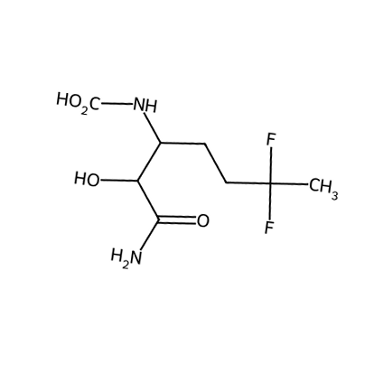 CC(F)(F)CCC(NC(=O)O)C(O)C(N)=O